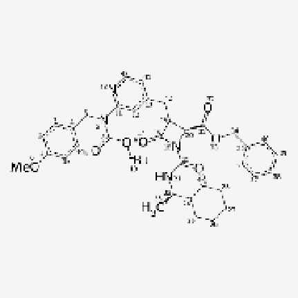 COc1ccc(CN(C(=O)OC(C)(C)C)c2cc(CC3C(=O)N(C(=O)N[C@H](C)C4CCCCC4)[C@@H]3C(=O)OCc3ccccc3)ccn2)cc1